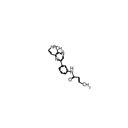 C/C=C/C(=O)Nc1cccc(-c2cnc(C)c(/C=C\CCC)n2)c1